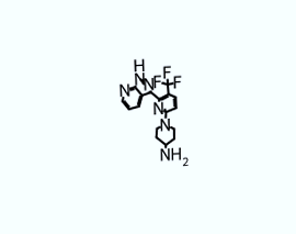 NC1CCN(c2ccc(C(F)(F)F)c(-c3n[nH]c4ncccc34)n2)CC1